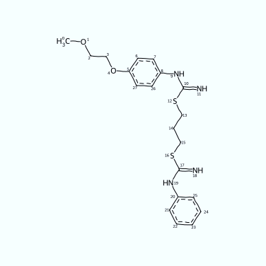 COCCOc1ccc(NC(=N)SCCCSC(=N)Nc2ccccc2)cc1